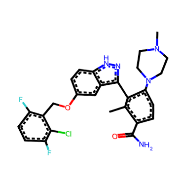 Cc1c(C(N)=O)ccc(N2CCN(C)CC2)c1-c1n[nH]c2ccc(OCc3c(F)ccc(F)c3Cl)cc12